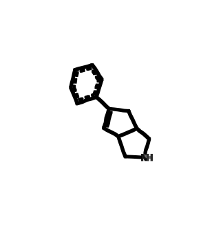 C1=C(c2ccccc2)CC2CNCC12